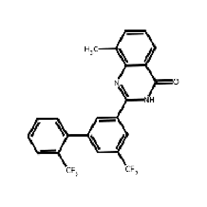 Cc1cccc2c(=O)[nH]c(-c3cc(-c4ccccc4C(F)(F)F)cc(C(F)(F)F)c3)nc12